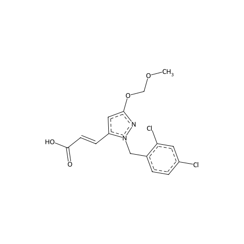 COCOc1cc(/C=C/C(=O)O)n(Cc2ccc(Cl)cc2Cl)n1